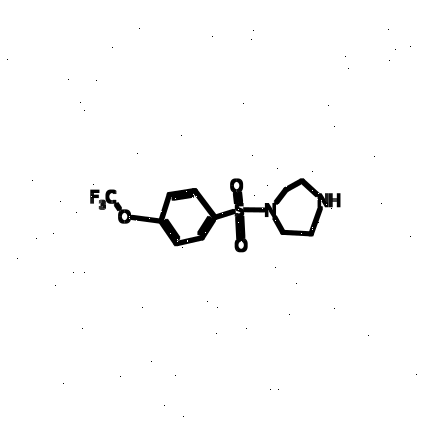 O=S(=O)(c1ccc(OC(F)(F)F)cc1)N1CCNCC1